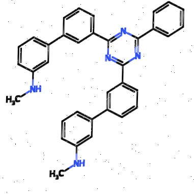 CNc1cccc(-c2cccc(-c3nc(-c4ccccc4)nc(-c4cccc(-c5cccc(NC)c5)c4)n3)c2)c1